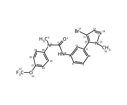 CN(C(=O)Nc1cccc(-c2c(Br)cnn2C)c1)c1ccc(OC(F)(F)F)cc1